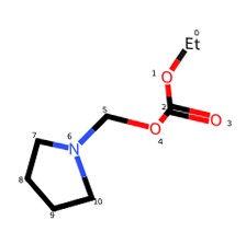 CCOC(=O)OCN1CCCC1